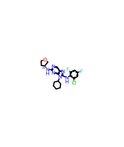 Fc1cc(F)c(Nc2nc3cnc(N[C@H]4CCOC4)nc3n2C2CCCCC2)c(Cl)c1